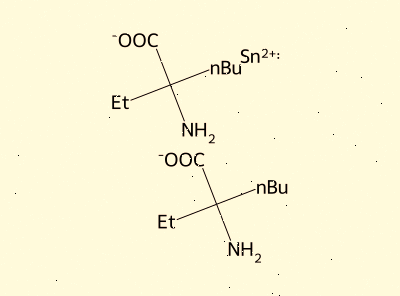 CCCCC(N)(CC)C(=O)[O-].CCCCC(N)(CC)C(=O)[O-].[Sn+2]